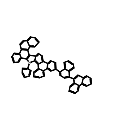 c1ccc(-n2c3c(ccc4c5ccc(-c6ccc(-c7cc8ccccc8c8ccccc78)c7ccccc67)cc5c5ccccc5c43)c3c4c5ccccc5ccc4c4ccccc4c32)cc1